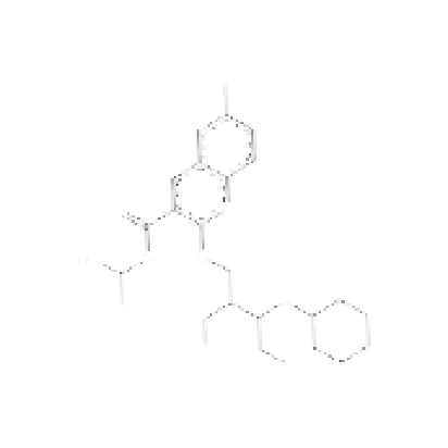 CCC(NC1CCCCC1)C(CO)CNc1nc2ccc(C)cc2cc1C(=N)NC(C)O